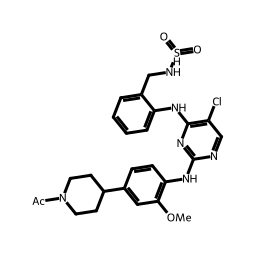 COc1cc(C2CCN(C(C)=O)CC2)ccc1Nc1ncc(Cl)c(Nc2ccccc2CN[SH](=O)=O)n1